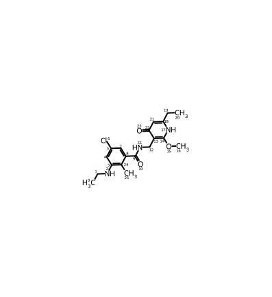 CCNc1cc(Cl)cc(C(=O)NCc2c(OC)[nH]c(CC)cc2=O)c1C